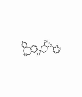 CC1CC(Cl)(c2ccc3c(c2)CNCc2nncn2-3)CCC1Oc1cccnn1